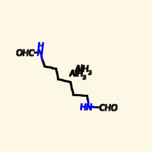 O=CNCCCCCCNC=O.[AlH3].[AlH3]